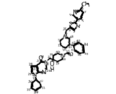 COc1ccc(-c2ncc(CN3CC[C@@H](C(=O)N4CCC(O)(Cn5cnc6c(ccn6-c6ccccc6)c5=O)CC4)[C@H](c4ccccc4)C3)s2)cn1